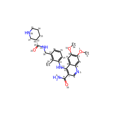 CCOc1cc2ncc(C(N)=O)c(Nc3cccc(CNC(=O)[C@H]4CCCNC4)c3CC)c2cc1OCC